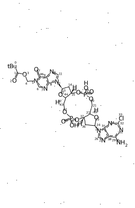 CC(C)(C)C(=O)OCn1cnc2c(ncn2[C@H]2C[C@@H]3OP(=O)(O)OC[C@H]4O[C@@H](n5cnc6c(N)nc(Cl)nc65)C[C@@H]4OP(=O)(O)OC[C@H]3O2)c1=O